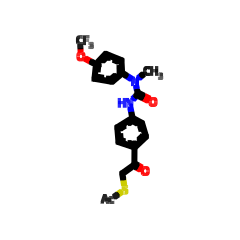 CC(=O)SCC(=O)c1ccc(NC(=O)N(C)c2ccc(OC(F)(F)F)cc2)cc1